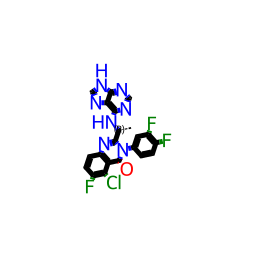 C[C@@H](Nc1ncnc2[nH]cnc12)c1nc2ccc(F)c(Cl)c2c(=O)n1-c1ccc(F)c(F)c1